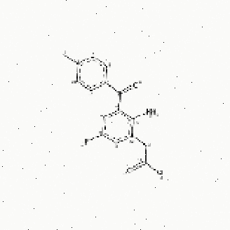 Cc1ccc(C(=O)c2cc(F)cc(CC(=O)O)c2N)cc1